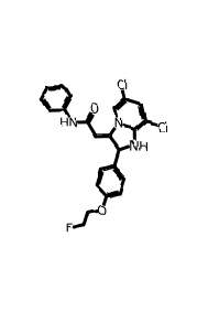 O=C(CC1C(c2ccc(OCCF)cc2)NC2C(Cl)=CC(Cl)=CN21)Nc1ccccc1